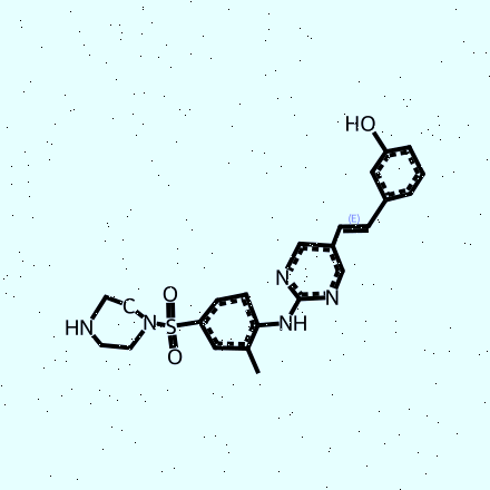 Cc1cc(S(=O)(=O)N2CCNCC2)ccc1Nc1ncc(/C=C/c2cccc(O)c2)cn1